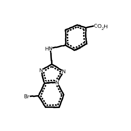 O=C(O)c1ccc(Nc2nc3c(Br)cccn3n2)cc1